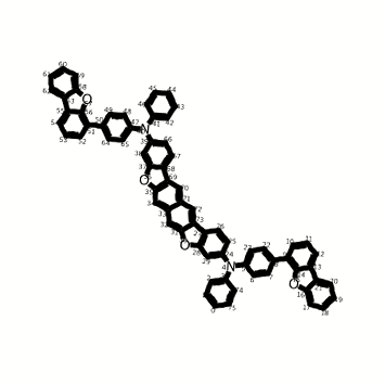 c1ccc(N(c2ccc(-c3cccc4c3oc3ccccc34)cc2)c2ccc3c(c2)oc2cc4cc5oc6cc(N(c7ccccc7)c7ccc(-c8cccc9c8oc8ccccc89)cc7)ccc6c5cc4cc23)cc1